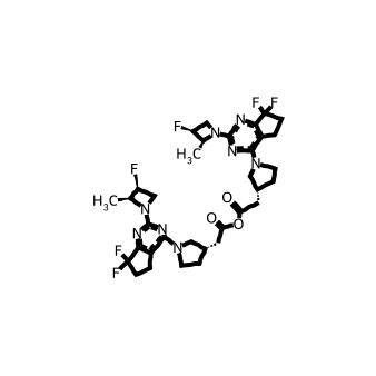 C[C@H]1[C@@H](F)CN1c1nc(N2CC[C@H](CC(=O)OC(=O)C[C@@H]3CCN(c4nc(N5C[C@H](F)[C@@H]5C)nc5c4CCC5(F)F)C3)C2)c2c(n1)C(F)(F)CC2